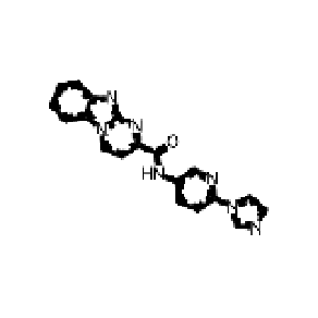 O=C(Nc1ccc(-n2ccnc2)nc1)c1ccn2c(n1)nc1ccccc12